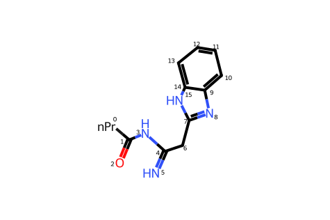 CCCC(=O)NC(=N)Cc1nc2ccccc2[nH]1